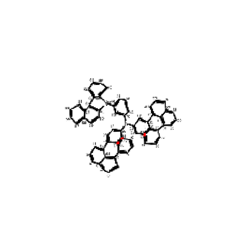 c1ccc(-c2cccc3cccc(-c4ccc(N(c5cccc(-c6cccc7cccc(-c8ccccc8)c67)c5)c5cccc(-n6c7ccccc7c7c8ccccc8ccc76)c5)cc4)c23)cc1